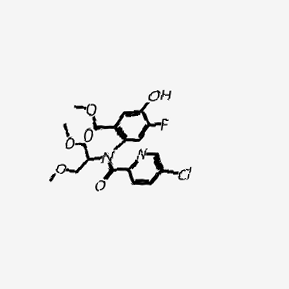 COCC(COC)N(C(=O)c1ccc(Cl)cn1)c1cc(F)c(O)cc1C(=O)OC